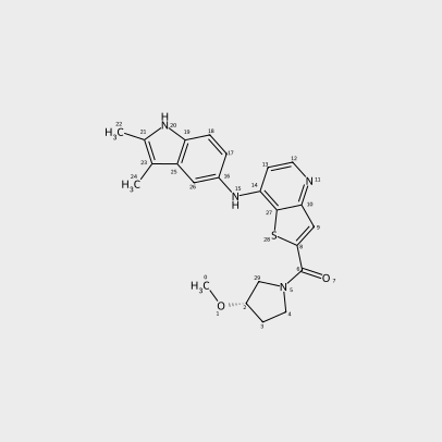 CO[C@H]1CCN(C(=O)c2cc3nccc(Nc4ccc5[nH]c(C)c(C)c5c4)c3s2)C1